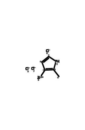 Cc1[pH]cc[c]1[Zr+3].[Cl-].[Cl-].[Cl-]